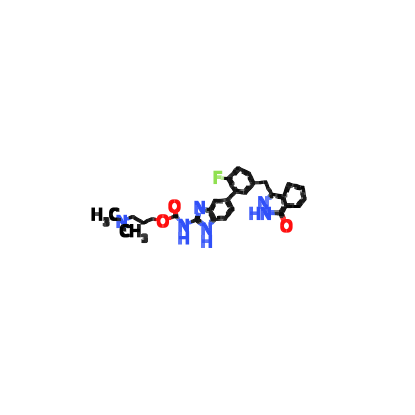 CN(C)CCCOC(=O)Nc1nc2cc(-c3cc(Cc4n[nH]c(=O)c5ccccc45)ccc3F)ccc2[nH]1